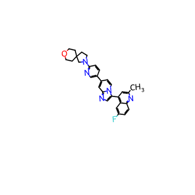 Cc1cc(-c2cnc3cc(-c4ccc(N5CCC6(CCOCC6)C5)nc4)ccn23)c2cc(F)ccc2n1